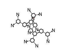 N#Cc1cc(C#N)cc(-c2ccc3c(c2)c2cc(-c4cc(C#N)cc(C#N)c4)ccc2n3-c2ccc(C#N)cc2-c2ccncc2-n2c3ccc(-c4cc(C#N)cc(C#N)c4)cc3c3cc(-c4cc(C#N)cc(C#N)c4)ccc32)c1